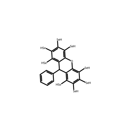 [SeH]c1c([SeH])c([SeH])c2c(c1[SeH])Oc1c([SeH])c([SeH])c([SeH])c([SeH])c1C2c1ccccc1